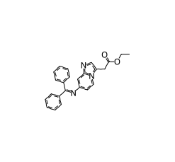 CCOC(=O)Cc1cnc2cc(N=C(c3ccccc3)c3ccccc3)ccn12